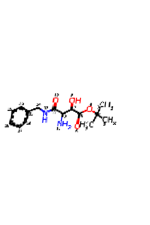 CC(C)(C)OC(=O)C(O)C(N)C(=O)NCc1ccccc1